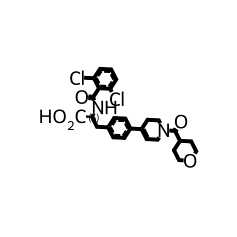 O=C(N[C@@H](Cc1ccc(C2=CCN(C(=O)C3CCOCC3)CC2)cc1)C(=O)O)c1c(Cl)cccc1Cl